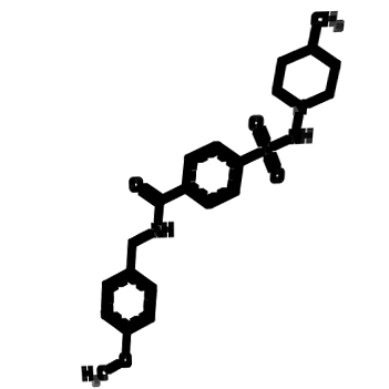 COc1ccc(CNC(=O)c2ccc(S(=O)(=O)NN3CCC(C)CC3)cc2)cc1